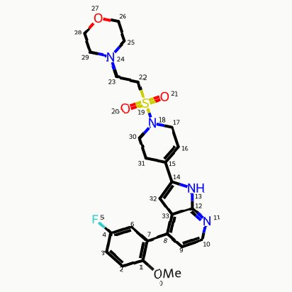 COc1ccc(F)cc1-c1ccnc2[nH]c(C3=CCN(S(=O)(=O)CCN4CCOCC4)CC3)cc12